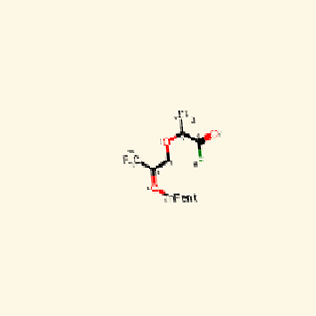 CCCCCOC(COC(C(=O)F)C(F)(F)F)C(F)(F)F